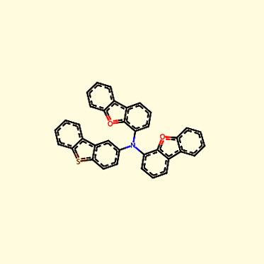 c1ccc2c(c1)oc1c(N(c3ccc4sc5ccccc5c4c3)c3cccc4c3oc3ccccc34)cccc12